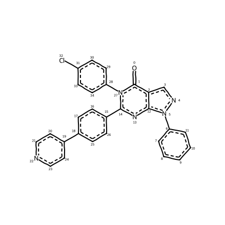 O=c1c2cnn(-c3ccccc3)c2nc(-c2ccc(-c3ccncc3)cc2)n1-c1ccc(Cl)cc1